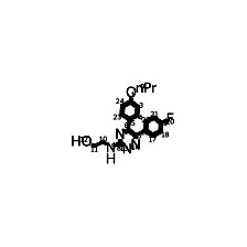 CCCOc1ccc(-c2nc(NCCO)nnc2-c2ccc(F)cc2)cc1